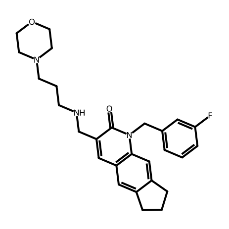 O=c1c(CNCCCN2CCOCC2)cc2cc3c(cc2n1Cc1cccc(F)c1)CCC3